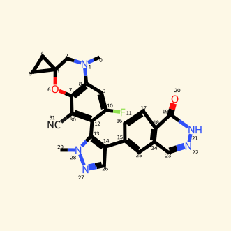 CN1CC2(CC2)Oc2c1cc(F)c(-c1c(-c3ccc4c(=O)[nH]ncc4c3)cnn1C)c2C#N